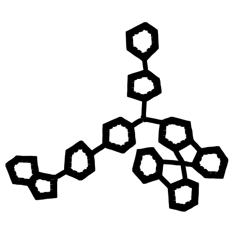 c1ccc(-c2ccc(N(c3ccc(-c4ccc(-n5ccc6ccccc65)cc4)cc3)c3ccc4c(c3)C3(c5ccccc5-c5ccccc53)c3ccccc3-4)cc2)cc1